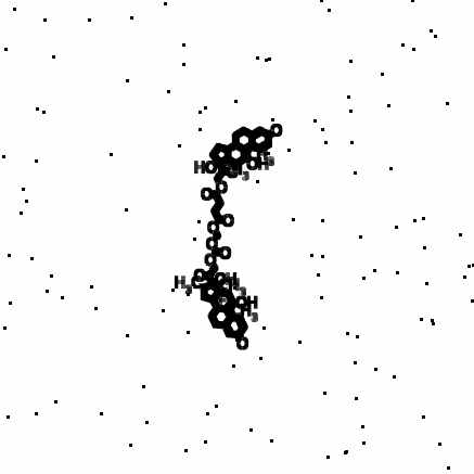 C[C@H]1CC2C3CCC4=CC(=O)C=C[C@]4(C)[C@@]3(F)[C@@H](O)C[C@]2(C)[C@@]1(O)C(=O)COC(=O)OCOC(=O)CCC(=O)OCC(=O)[C@@]1(O)CCC2C3CCC4=CC(=O)C=C[C@]4(C)C3[C@@H](O)C[C@@]21C